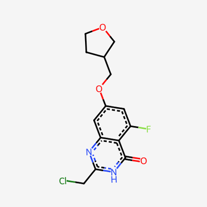 O=c1[nH]c(CCl)nc2cc(OCC3CCOC3)cc(F)c12